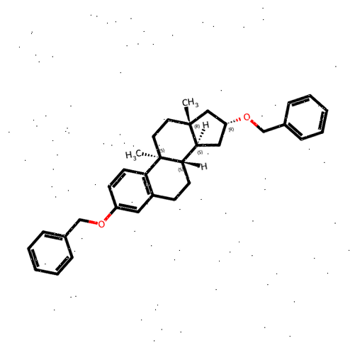 C[C@]12CC[C@]3(C)c4ccc(OCc5ccccc5)cc4CC[C@H]3[C@@H]1C[C@@H](OCc1ccccc1)C2